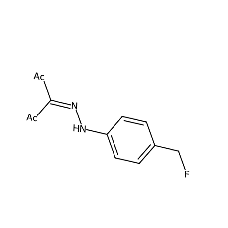 CC(=O)C(=NNc1ccc(CF)cc1)C(C)=O